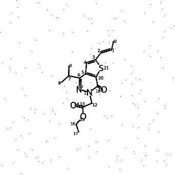 CC=Cc1cc2c(C(C)C)nn(CC(=O)OCC)c(=O)c2s1